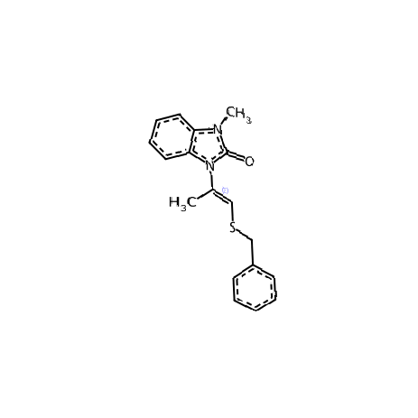 C/C(=C\SCc1ccccc1)n1c(=O)n(C)c2ccccc21